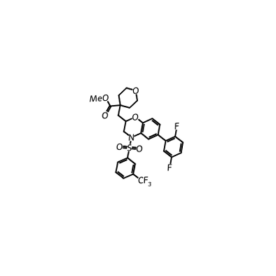 COC(=O)C1(CC2CN(S(=O)(=O)c3cccc(C(F)(F)F)c3)c3cc(-c4cc(F)ccc4F)ccc3O2)CCOCC1